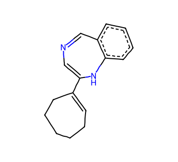 C1=NC=C(C2=CCCCCC2)Nc2ccccc21